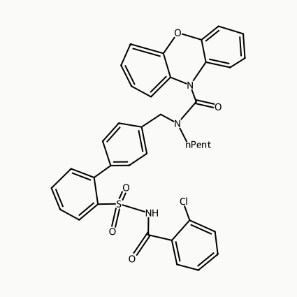 CCCCCN(Cc1ccc(-c2ccccc2S(=O)(=O)NC(=O)c2ccccc2Cl)cc1)C(=O)N1c2ccccc2Oc2ccccc21